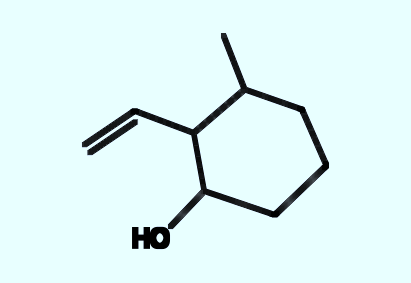 C=CC1C(C)CCCC1O